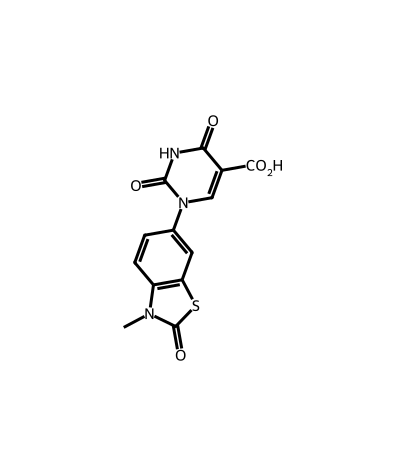 Cn1c(=O)sc2cc(-n3cc(C(=O)O)c(=O)[nH]c3=O)ccc21